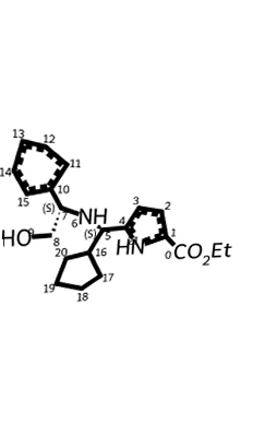 CCOC(=O)c1ccc([C@@H](N[C@H](CO)c2ccccc2)C2CCCC2)[nH]1